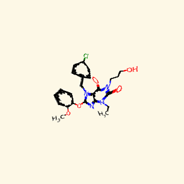 CCn1c(=O)n(CCCO)c(=O)c2c1nc(Oc1ccccc1OC)n2Cc1ccc(Cl)cc1